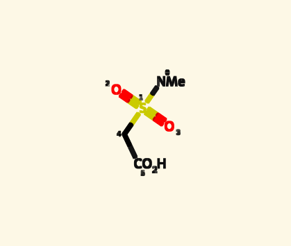 CNS(=O)(=O)CC(=O)O